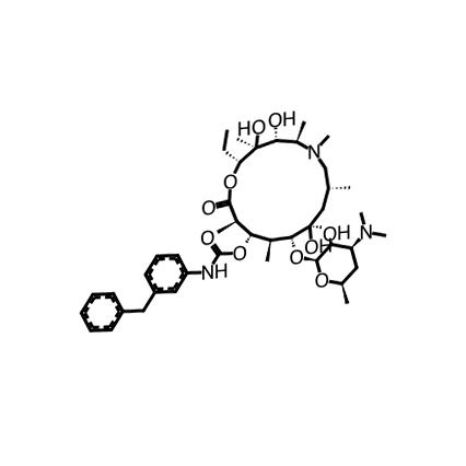 CC[C@H]1OC(=O)[C@H](C)[C@@H](OC(=O)Nc2cccc(Cc3ccccc3)c2)[C@H](C)[C@@H](O[C@@H]2O[C@H](C)C[C@H](N(C)C)[C@H]2O)[C@](C)(O)C[C@@H](C)CN(C)[C@H](C)[C@@H](O)[C@]1(C)O